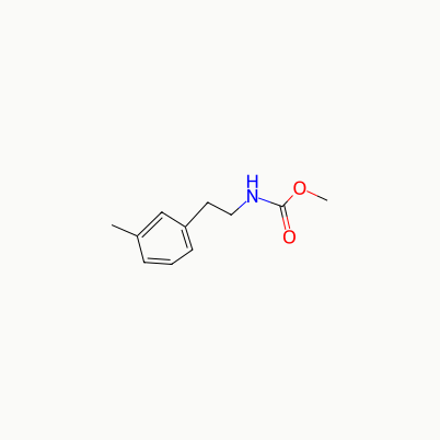 COC(=O)NCCc1cccc(C)c1